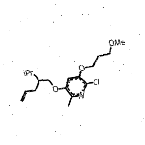 C=CCC(COc1cc(OCCCOC)c(Cl)nc1C)C(C)C